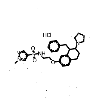 Cl.Cn1cc(S(=O)(=O)NCCOc2ccc3c(c2)C(Cc2ccccc2)C(N2CCCC2)CC3)cn1